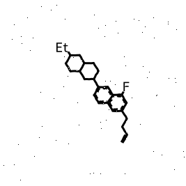 C=CCCc1cc(F)c2cc(C3CCC4CC(CC)CCC4C3)ccc2c1